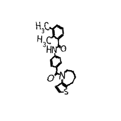 Cc1cccc(C(=O)Nc2ccc(C(=O)N3CCCCc4sccc43)cc2)c1C